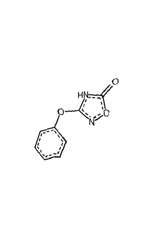 O=c1[nH]c(Oc2ccccc2)no1